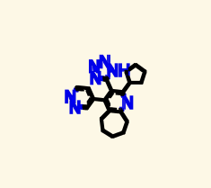 c1cc(-c2c3c(nc(C4CCCC4)c2-c2nnn[nH]2)CCCCC3)cnn1